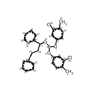 Cc1ccc(OB(Oc2ccc(C)c(Cl)c2)OC(CCc2ccccc2)c2ccccn2)cc1Cl